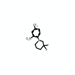 O=[N+]([O-])c1cc(C(F)(F)F)ccc1N1CCCC(F)(F)C1